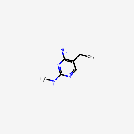 CCc1cnc(NC)nc1N